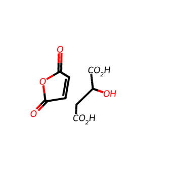 O=C(O)CC(O)C(=O)O.O=C1C=CC(=O)O1